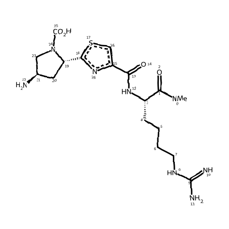 CNC(=O)[C@H](CCCCNC(=N)N)NC(=O)c1csc([C@@H]2C[C@@H](N)CN2C(=O)O)n1